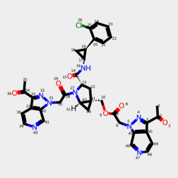 CC(=O)c1nn(CC(=O)OC[C@@]23C[C@@H](C(=O)N[C@@H]4C[C@H]4c4ccccc4Cl)N(C(=O)Cn4nc(C(C)=O)c5ccncc54)[C@@H]2C3)c2cnccc12